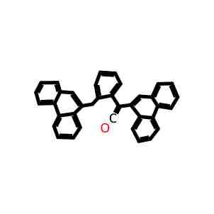 O=C=C(c1ccccc1Cc1cc2ccccc2c2ccccc12)c1cc2ccccc2c2ccccc12